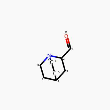 O=CC1CC2CCN1CC2